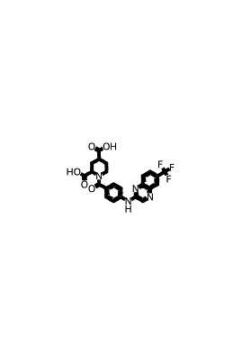 O=C(O)C1CCN(C(=O)c2ccc(Nc3cnc4cc(C(F)(F)F)ccc4n3)cc2)C(C(=O)O)C1